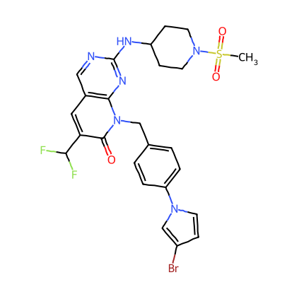 CS(=O)(=O)N1CCC(Nc2ncc3cc(C(F)F)c(=O)n(Cc4ccc(-n5ccc(Br)c5)cc4)c3n2)CC1